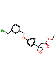 CCOC(=O)CC1(c2ccc(OCc3cccc(CBr)c3)cc2)COC1